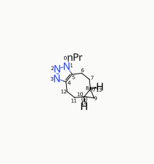 CCCn1nnc2c1CC[C@@H]1C[C@@H]1CC2